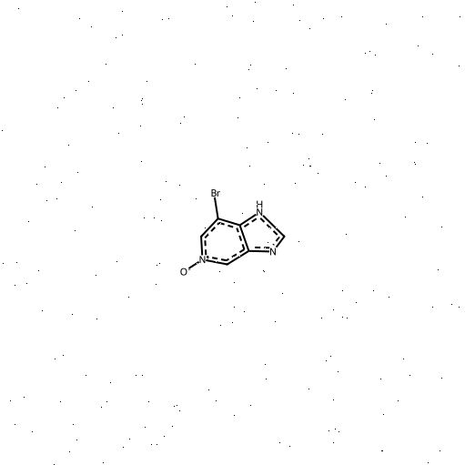 [O-][n+]1cc(Br)c2[nH]cnc2c1